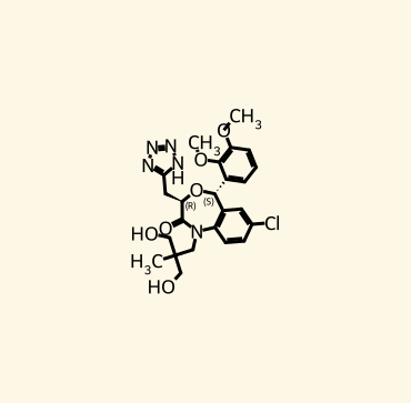 COc1cccc([C@H]2O[C@H](Cc3nnn[nH]3)C(=O)N(CC(C)(CO)CO)c3ccc(Cl)cc32)c1OC